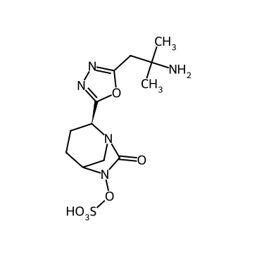 CC(C)(N)Cc1nnc([C@@H]2CCC3CN2C(=O)N3OS(=O)(=O)O)o1